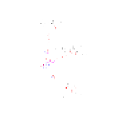 CC(=O)N/C=C/C1[C@H](OCCOCCOCCOCC(=O)NCCCC[C@H](NC(=O)[C@H](CCCCNC(=O)COCCOCCOCCO[C@@H]2O[C@H](COC(C)=O)[C@H](OC(C)=O)[C@H](OC(C)=O)[C@H]2NC(C)=O)NC(=O)COCCOCCOCCO[C@@H]2O[C@H](COC(C)=O)[C@H](OC(C)=O)[C@H](OC(C)=O)[C@H]2NC(C)=O)C(=O)O)O[C@H](COC(C)=O)[C@H](OC(C)=O)[C@@H]1OC(C)=O